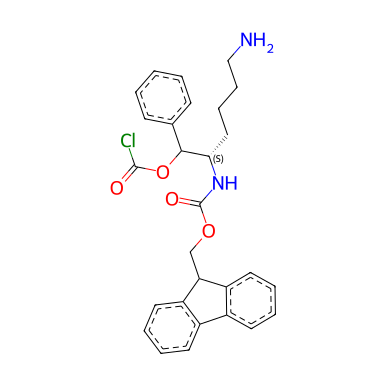 NCCCC[C@H](NC(=O)OCC1c2ccccc2-c2ccccc21)C(OC(=O)Cl)c1ccccc1